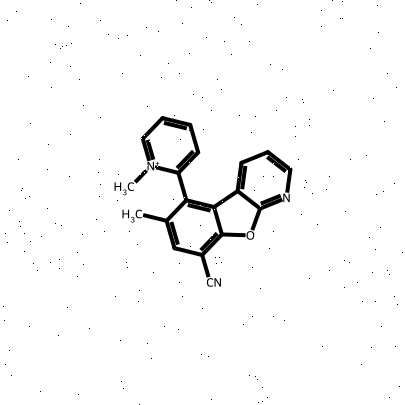 Cc1cc(C#N)c2oc3ncccc3c2c1-c1cccc[n+]1C